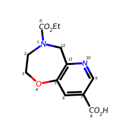 CCOC(=O)N1CCOc2cc(C(=O)O)cnc2C1